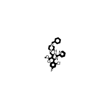 COC(=O)C1=C(CN2CCN(CC3CCCCC3)CC2)NC(c2ccccn2)=NC1c1ccc(F)cc1Cl